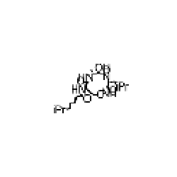 CC(C)CC/C=C/C(=O)N[C@H]1CCCNC(=O)[C@H](CC(C)C)NC(=O)C(=O)[C@H](C)NC1=O